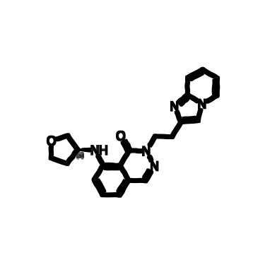 O=c1c2c(N[C@H]3CCOC3)cccc2cnn1CCc1cn2ccccc2n1